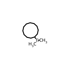 [CH3][Ti]([CH3])[CH]1CCCCCCCCCCC1